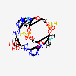 O=[P@]1(S)OCC2OC3[C@H](F)[C@@H]2O[P@](=O)(S)OCC2O[C@H]([C@H](F)[C@@H]2O1)n1cnc2c(ncnc21)NC[C@H](O)[C@@H](O)CNc1ncnc2c1ncn23